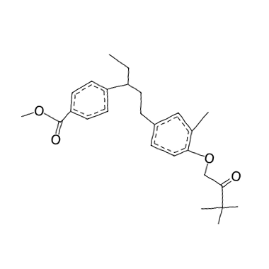 CCC(CCc1ccc(OCC(=O)C(C)(C)C)c(C)c1)c1ccc(C(=O)OC)cc1